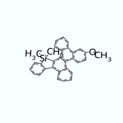 COc1ccc2c(c1)c1ccccc1c1c3c(c4ccccc4c21)-c1ccccc1[Si]3(C)C